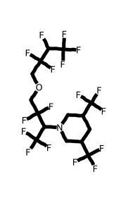 FC(C(F)(F)F)C(F)(F)COCC(F)(F)C(N1CC(C(F)(F)F)CC(C(F)(F)F)C1)C(F)(F)F